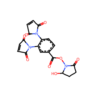 O=C(ON1C(=O)CCC1O)c1ccc(N2C(=O)C=CC2=O)c(N2C(=O)C=CC2=O)c1